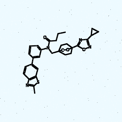 CCCC(=O)N(CC12CCC(c3nc(C4CC4)no3)(CC1)OC2)c1cccc(-c2ccc3nc(C)sc3c2)c1